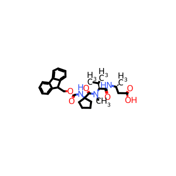 CC(C)[C@@H](C(=O)N[C@H](C)CC(=O)O)N(C)C(=O)C1(NC(=O)OCC2c3ccccc3-c3ccccc32)CCCC1